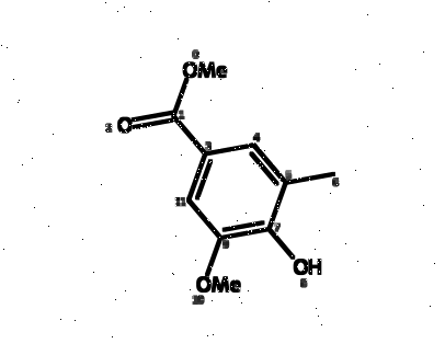 COC(=O)c1cc(C)c(O)c(OC)c1